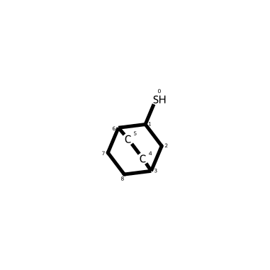 SC1CC2CCC1CC2